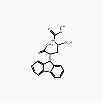 CCCCOC(=O)NC(CN(C(=O)OC)C1c2ccccc2-c2ccccc21)C(=O)O